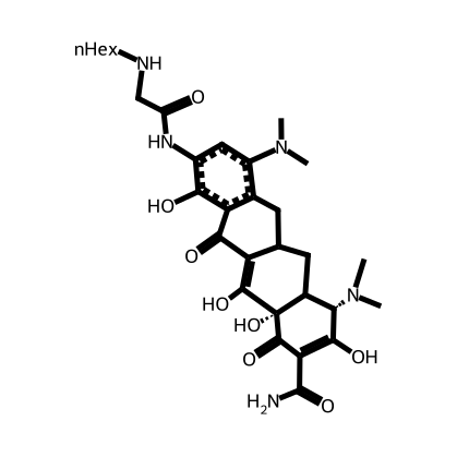 CCCCCCNCC(=O)Nc1cc(N(C)C)c2c(c1O)C(=O)C1=C(O)[C@]3(O)C(=O)C(C(N)=O)=C(O)[C@@H](N(C)C)C3CC1C2